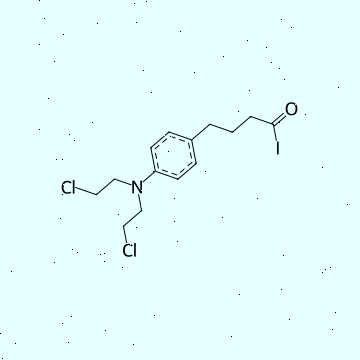 O=C(I)CCCc1ccc(N(CCCl)CCCl)cc1